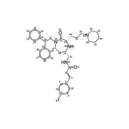 O=C(/C=C/c1ccc(I)cc1)NC[C@@H]1CCN(CC(c2ccccc2)c2ccccc2)C(=O)[C@H](CCCN2CCCCC2)N1